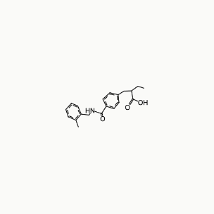 CCC(Cc1ccc(C(=O)NCc2ccccc2C)cc1)C(=O)O